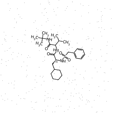 CC(C)C(NC(=O)[C@H](CC1CCCCC1)NS(=O)(=O)Cc1ccccc1)C(=O)NC(C)(C)C